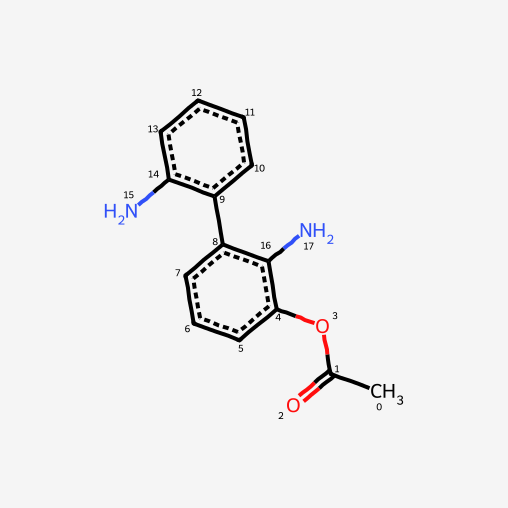 CC(=O)Oc1cccc(-c2ccccc2N)c1N